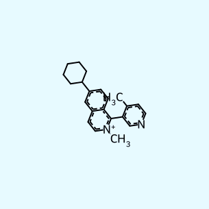 Cc1ccncc1-c1c2ccc(C3CCCCC3)cc2cc[n+]1C